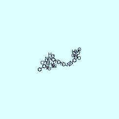 COc1cc(N2CCC(N3CCC(CN4CCN(c5ccc6c(c5)C(=O)N(C5CCC(=O)NC5=O)C6=O)CC4)CC3)CC2)c(-c2cnn(C)c2)cc1Nc1ncc(Cl)c(Nc2ccc(-c3ccccc3)cc2P(C)(C)=O)n1